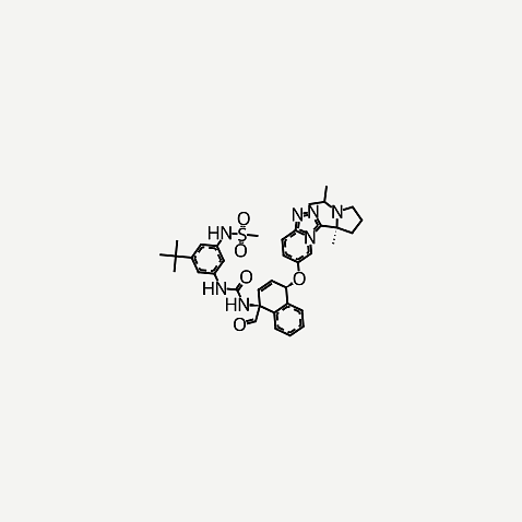 CC(C)N1CCC[C@@]1(C)c1nnc2ccc(O[C@@H]3C=C[C@](C=O)(NC(=O)Nc4cc(NS(C)(=O)=O)cc(C(C)(C)C)c4)c4ccccc43)cn12